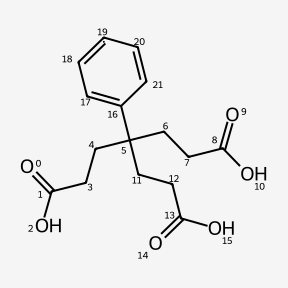 O=C(O)CCC(CCC(=O)O)(CCC(=O)O)c1cc[c]cc1